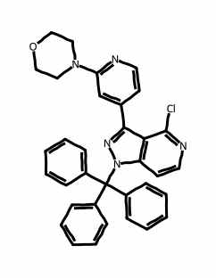 Clc1nccc2c1c(-c1ccnc(N3CCOCC3)c1)nn2C(c1ccccc1)(c1ccccc1)c1ccccc1